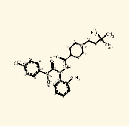 Cc1ccccc1C(NC(=O)C1CCN(CCC(C)(C)C)CC1)C(=O)N(C)c1ccc(Cl)cc1